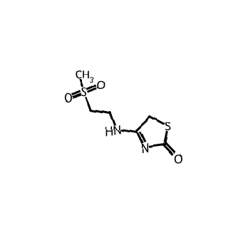 CS(=O)(=O)CCNC1=NC(=O)SC1